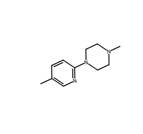 Cc1ccc(N2CCN(C)CC2)nc1